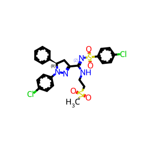 CS(=O)(=O)CCN/C(=N\S(=O)(=O)c1ccc(Cl)cc1)C1=NN(c2ccc(Cl)cc2)[C@@H](c2ccccc2)C1